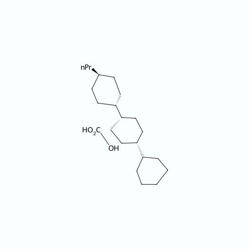 CCC[C@H]1CC[C@H]([C@H]2CC[C@@H](C3CCCCC3)CC2)CC1.O=C(O)O